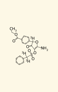 [2H]C1(c2ccc(C(=O)OCC)cc2)OC(N)=C(OS(=O)(=O)C([2H])([2H])c2ccccc2)C1=O